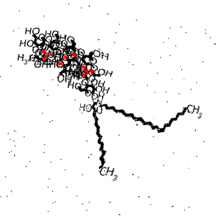 CCCCCCCC/C=C\CCCCCCCCCCCCCC(=O)N[C@@H](CO[C@@H]1OC(CO)[C@@H](O[C@@H]2OC(CO)[C@H](O[C@@H]3OC(CO)[C@H](O)[C@H](O[C@@H]4OC(CO)[C@H](O)[C@H](O[C@@H]5OC(CO)[C@@H](O[C@@H]6OC(CO)[C@H](O)[C@H](O)C6O)[C@H](O[C@H]6OC(C)[C@@H](O)C(O)[C@@H]6O)C5NC(C)=O)C4O)C3NC(C)=O)[C@H](O[C@]3(C(=O)O)CC(O)[C@@H](NC(C)=O)C([C@H](O)[C@H](O)CO)O3)C2O)[C@H](O)C1O)[C@H](O)/C=C/CCCCCCCCCCCCC